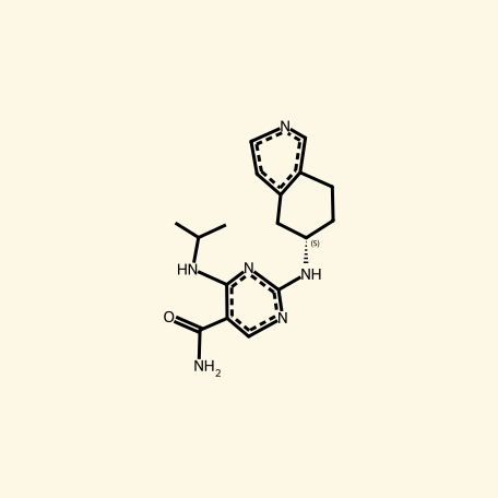 CC(C)Nc1nc(N[C@H]2CCc3cnccc3C2)ncc1C(N)=O